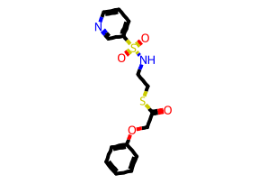 O=C(COc1ccccc1)SCCNS(=O)(=O)c1cccnc1